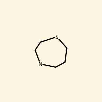 [CH]1C[N]CCCS1